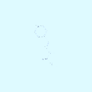 NC(=O)N/N=C/c1ccncc1